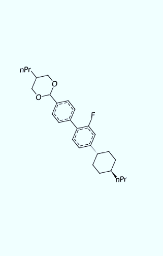 CCCC1COC(c2ccc(-c3ccc([C@H]4CC[C@H](CCC)CC4)cc3F)cc2)OC1